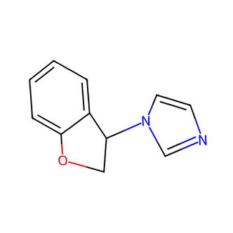 c1ccc2c(c1)OCC2n1ccnc1